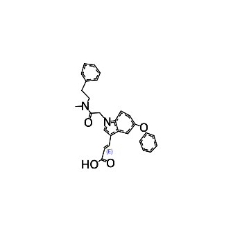 CN(CCc1ccccc1)C(=O)Cn1cc(/C=C/C(=O)O)c2cc(Oc3ccccc3)ccc21